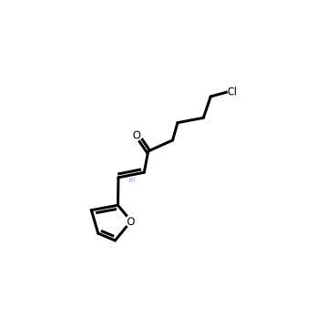 O=C(/C=C/c1ccco1)CCCCCl